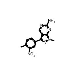 Cc1ccc(-c2nn(C)c3nc(N)ncc23)cc1[N+](=O)[O-]